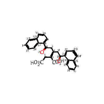 O=C(O)CC(C(=O)O)=C(CC(=O)c1cccc2ccccc12)CC(=O)c1cccc2ccccc12